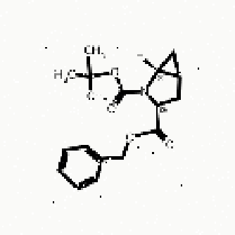 CC(C)(C)OC(=O)N1[C@@H]2CC2C[C@H]1C(=O)OCc1ccccc1